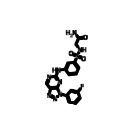 NC(=O)CNS(=O)(=O)c1cccc(Nc2ncc3nnn(-c4cccc(F)c4)c3n2)c1